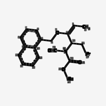 C/C=C(/OCc1cccc2ccccc12)C(CC(C)C)N(C=O)C(=O)OC(C)(C)C